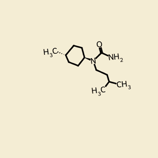 CC(C)CCN(C(N)=O)[C@H]1CC[C@H](C)CC1